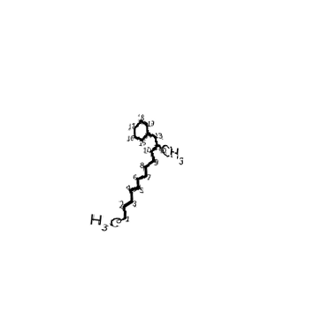 CCCCCCCCCCCC(C)CC1CCCCC1